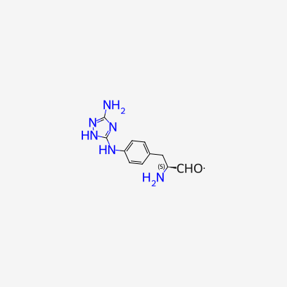 Nc1n[nH]c(Nc2ccc(C[C@H](N)[C]=O)cc2)n1